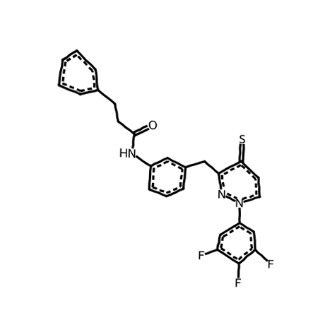 O=C(CCc1ccccc1)Nc1cccc(Cc2nn(-c3cc(F)c(F)c(F)c3)ccc2=S)c1